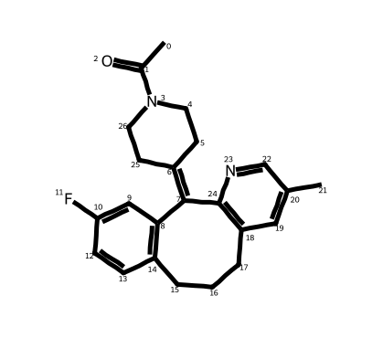 CC(=O)N1CCC(=C2c3cc(F)ccc3CCCc3cc(C)cnc32)CC1